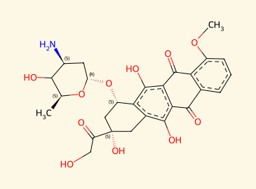 COc1cccc2c1C(=O)c1c(O)c3c(c(O)c1C2=O)C[C@@](O)(C(=O)CO)C[C@@H]3O[C@H]1C[C@H](N)C(O)[C@H](C)O1